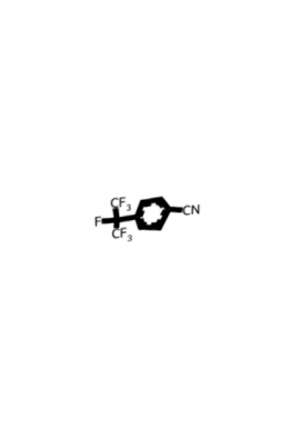 N#Cc1ccc(C(F)(C(F)(F)F)C(F)(F)F)cc1